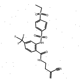 C=C(C#N)CCNC(=O)c1ccc(C(F)(F)F)cc1NS(=O)(=O)c1ccc(S(=O)(=O)CC)cc1